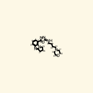 c1cc(-c2nnc(NCCCCN3CCOCC3)o2)c2c(c1)nc1n2CCC1